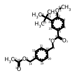 COc1ccc(C(=O)OCc2ccc(COC(C)=O)cc2)cc1C(C)(C)C